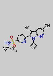 N#Cc1cnc2c(c1)c(C#N)c(-c1ccc(S(=O)(=O)NC3(C(F)(F)F)CC3)cn1)n2C1=CC=C1